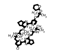 CN(CC(=O)NC(C)(C)Cc1cc(Cl)cc(-c2nc3c(c(N(C)CC(=O)NC(C)(C)C)n2)CCC3)n1)c1nc(-c2cc(OCC(C)(C)OC3CCCCO3)ccn2)nc2c1CCC2